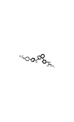 C=CC(=O)Nc1cccc(-c2cccc3cnc(Nc4ccc(N5CCN(CC)CC5)nc4)nc23)c1